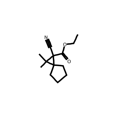 CCOC(=O)C1(C#N)C(C)(C)C12CCCC2